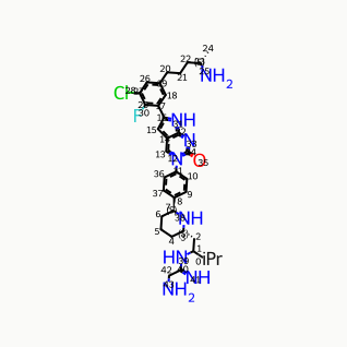 CC(C)C(C[C@@H]1CCC[C@@H](c2ccc(-n3cc4cc(-c5cc(CCC[C@H](C)N)cc(Cl)c5F)[nH]c4nc3=O)cc2)N1)NC(=N)CN